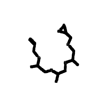 C=CCOC(C)COC(C)COC(C)COCC1CO1